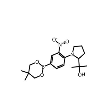 CC1(C)COB(c2ccc(N3CCCC3C(C)(C)O)c([N+](=O)[O-])c2)OC1